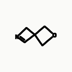 C1=NCC12COC2